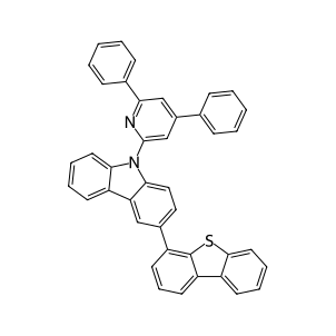 c1ccc(-c2cc(-c3ccccc3)nc(-n3c4ccccc4c4cc(-c5cccc6c5sc5ccccc56)ccc43)c2)cc1